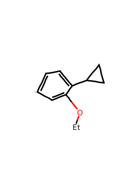 CCOc1c[c]ccc1C1CC1